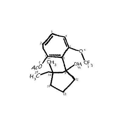 CC(=O)Oc1cccc(OC(F)(F)F)c1C1(O)CCCC1(C)C